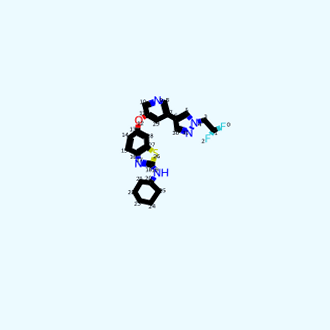 FC(F)Cn1cc(-c2cncc(Oc3ccc4nc(NC5CCCCC5)sc4c3)c2)cn1